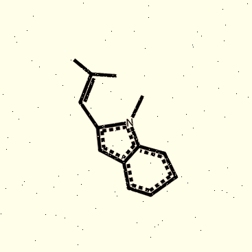 CC(C)=Cc1cc2ccccc2n1C